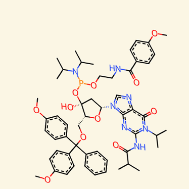 COc1ccc(C(=O)NCCOP(O[C@@]2(O)C[C@H](n3cnc4c(=O)n(C(C)C)c(NC(=O)C(C)C)nc43)O[C@@H]2COC(c2ccccc2)(c2ccc(OC)cc2)c2ccc(OC)cc2)N(C(C)C)C(C)C)cc1